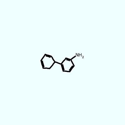 Nc1cccc(C2C=CC=CC2)c1